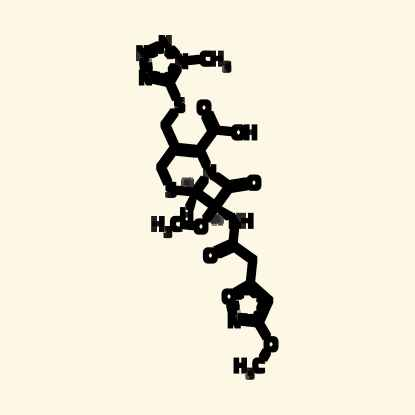 COc1cc(CC(=O)N[C@]2(OC)C(=O)N3C(C(=O)O)=C(CSc4nnnn4C)CS[C@H]32)on1